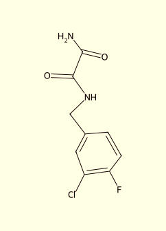 NC(=O)C(=O)NCc1ccc(F)c(Cl)c1